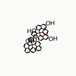 Oc1ccc2c(C(c3ccccc3)(c3ccccc3)c3c(Oc4cccc(C(c5ccccc5)(c5c(O)ccc6ccccc56)c5c(O)ccc6ccccc56)c4)ccc4cc(O)ccc34)c(O)ccc2c1